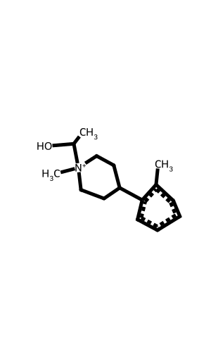 Cc1ccccc1C1CC[N+](C)(C(C)O)CC1